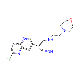 N=C/C(=C\NCCN1CCOCC1)c1cnc2ccc(Cl)nc2c1